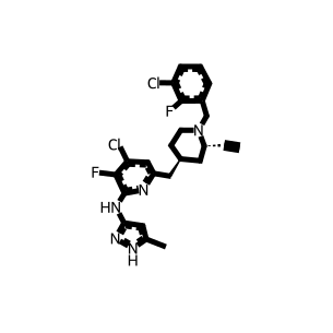 C#C[C@@H]1C[C@@H](Cc2cc(Cl)c(F)c(Nc3cc(C)[nH]n3)n2)CCN1Cc1cccc(Cl)c1F